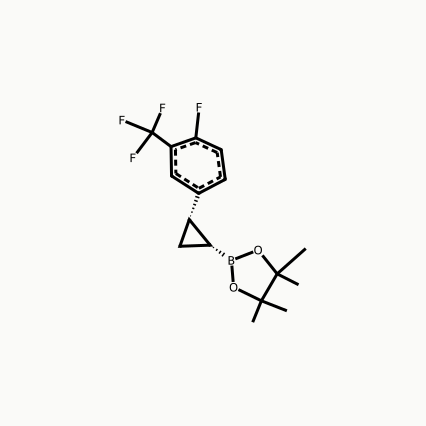 CC1(C)OB([C@@H]2C[C@@H]2c2ccc(F)c(C(F)(F)F)c2)OC1(C)C